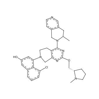 CC1Cc2cnccc2CN1c1nc(OC[C@@H]2CCCN2C)nc2c1CCN(c1cc(O)cc3cccc(Cl)c13)C2